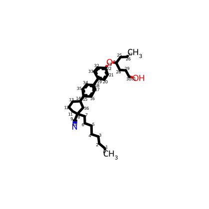 CCCCCCCCC1(C#N)CCCC(c2ccc(-c3ccc(OC(CCC)CCCO)cc3)cc2)C1